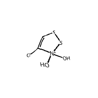 O[N+]1(O)SSC=C1Cl